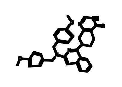 COc1ccc(CN(Cc2ccc(OC)cc2)c2cc3ccccc3c(C3CCc4c(nc[nH]c4=O)C3)n2)cc1